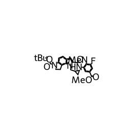 CNc1c(F)cc(C(=O)OC)cc1NC(=O)c1cc2ccc3c(c2n1CC1CC1)CCN3C(=O)OC(C)(C)C